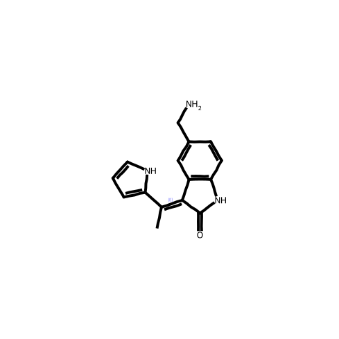 C/C(=C1\C(=O)Nc2ccc(CN)cc21)c1ccc[nH]1